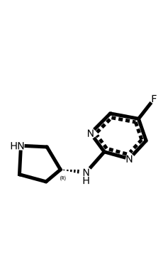 Fc1cnc(N[C@@H]2CCNC2)nc1